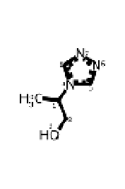 CC(CO)n1cnnc1